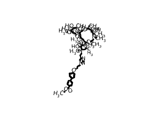 CCOC(=O)c1ccc(-c2ccc(OCCCn3cc(CCN(C)[C@H]4C[C@@H](C)O[C@@H](O[C@@H]5[C@@H](C)[C@H](O[C@H]6C[C@@](C)(OC)[C@@H](O)[C@H](C)O6)[C@@H](C)C(=O)O[C@H](CC)[C@@](C)(O)[C@H](O)[C@@H](C)N(C)C[C@H](C)C[C@@]5(C)O)[C@@H]4O)nn3)cc2)cc1